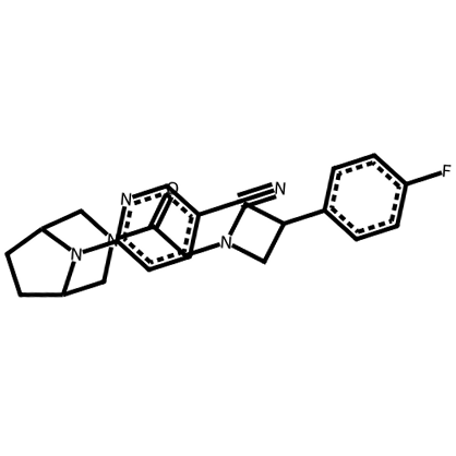 N#Cc1ccc(N2C3CCC2CN(C(=O)CN2CC(c4ccc(F)cc4)C2)C3)nc1